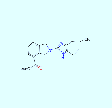 COC(=O)c1cccc2c1CN(c1nc3c([nH]1)CCC(C(F)(F)F)C3)C2